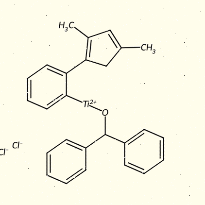 CC1=CC(C)=C(c2cccc[c]2[Ti+2][O]C(c2ccccc2)c2ccccc2)C1.[Cl-].[Cl-]